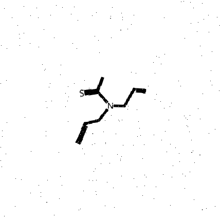 C=CCN(CC=C)C(C)=S